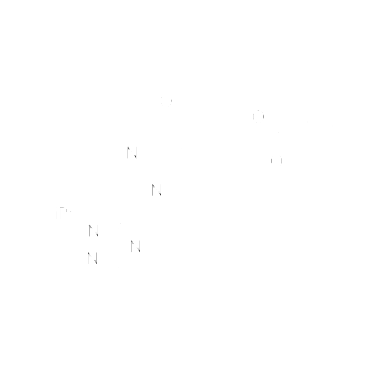 Cc1nc(-c2cn3c(n2)-c2ccc(OC(=O)C4CC4)cc2OCC3)n(C(C)C)n1